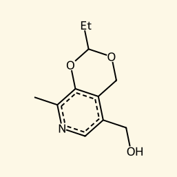 CCC1OCc2c(CO)cnc(C)c2O1